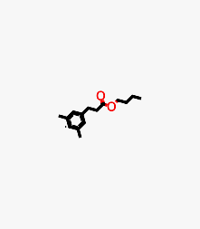 CCCCOC(=O)CCc1cc(C)[c]c(C)c1